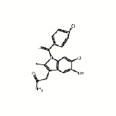 Cc1c(CC(N)=O)c2cc(O)c(Cl)cc2n1C(=O)c1ccc(Cl)cc1